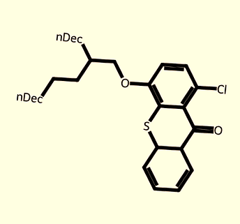 CCCCCCCCCCCCC(CCCCCCCCCC)COc1ccc(Cl)c2c1SC1C=CC=CC1C2=O